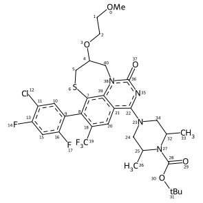 COCCOC1CSc2c(-c3cc(Cl)c(F)cc3F)c(C(F)(F)F)cc3c(N4CC(C)N(C(=O)OC(C)(C)C)C(C)C4)nc(=O)n(c23)C1